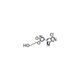 COc1ncc(/C(C#N)=C/c2c(Cl)cncc2Cl)cc1OCCCCO